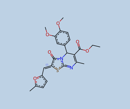 CCOC(=O)C1=C(C)N=c2s/c(=C\c3ccc(C)o3)c(=O)n2C1c1ccc(OC)c(OC)c1